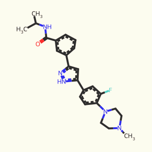 CC(C)NC(=O)c1cccc(-c2cc(-c3ccc(N4CCN(C)CC4)c(F)c3)[nH]n2)c1